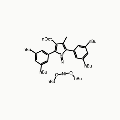 CCCCCCCCC1=C(c2cc(CCCC)cc(CCCC)c2)[N+](=[N-])C(c2cc(CCCC)cc(CCCC)c2)=C1C.CCCC[O][Ni][O]CCCC